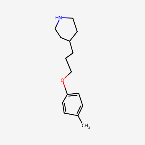 Cc1ccc(OCCCC2CCNCC2)cc1